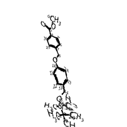 COC(=O)c1ccc(COc2ccc(CO[Si](C)(C)C(C)(C)C)cc2)cc1